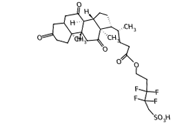 C[C@H](CCC(=O)OCCC(F)(F)C(F)(F)CS(=O)(=O)O)[C@H]1CC[C@H]2[C@@H]3C(=O)CC4CC(=O)CC[C@]4(C)[C@H]3CC(=O)[C@]12C